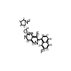 CN1CCC[C@H]1COc1ncc2cnc(-c3cccc4ccc(F)cc34)c(F)c2n1